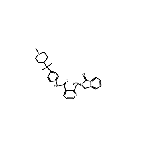 CN1CCC(C(C)(C)c2ccc(NC(=O)c3cccnc3NN3Cc4ccccc4C3=O)cc2)CC1